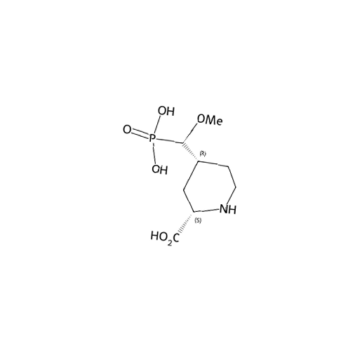 COC([C@@H]1CCN[C@H](C(=O)O)C1)P(=O)(O)O